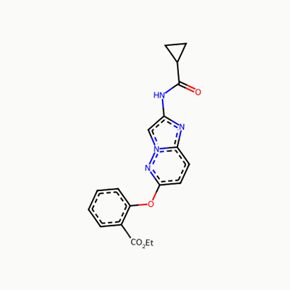 CCOC(=O)c1ccccc1Oc1ccc2nc(NC(=O)C3CC3)cn2n1